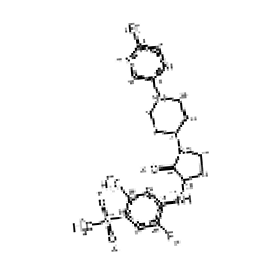 CCc1cnc(N2CCC(N3CCC(Nc4cc(C)c(S(C)(=O)=O)cc4F)C3=O)CC2)cn1